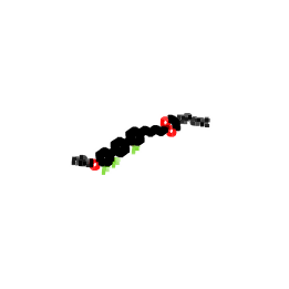 CCCCCC1COC(CCCCc2ccc(-c3ccc(-c4ccc(OCCCC)c(F)c4F)cc3)c(F)c2)OC1